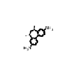 C[C@@H]1C[C@@H](C)c2cc(N)ccc2-c2ccc(N)cc21